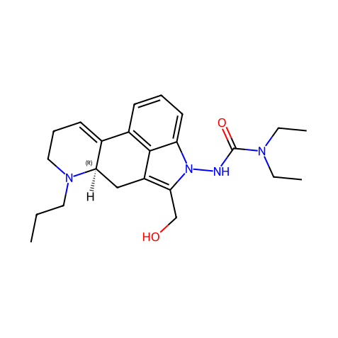 CCCN1CCC=C2c3cccc4c3c(c(CO)n4NC(=O)N(CC)CC)C[C@H]21